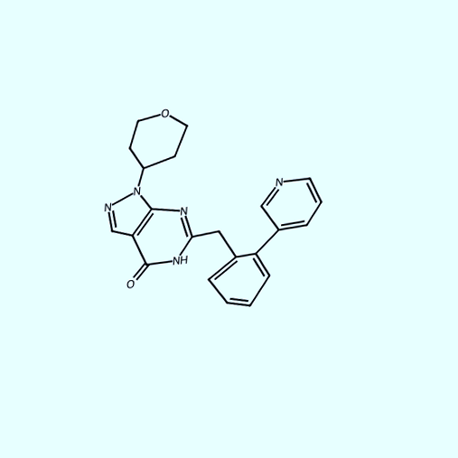 O=c1[nH]c(Cc2ccccc2-c2cccnc2)nc2c1cnn2C1CCOCC1